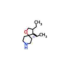 C/C=C1\C(CC)COC12CCNCC2